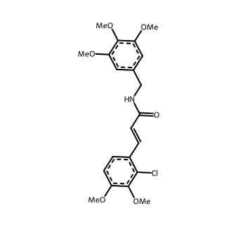 COc1cc(CNC(=O)/C=C/c2ccc(OC)c(OC)c2Cl)cc(OC)c1OC